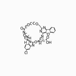 C[C@H]1CN2CC[C@@H]1n1c(nc3cc(Cl)ccc31)O[C@H]1C[C@@H](C(=O)O)N(C1)c1nc(nc3c1oc1ccccc13)COCCOCC2=O